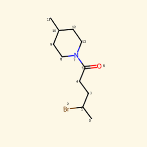 CC(Br)CCC(=O)N1CCC(C)CC1